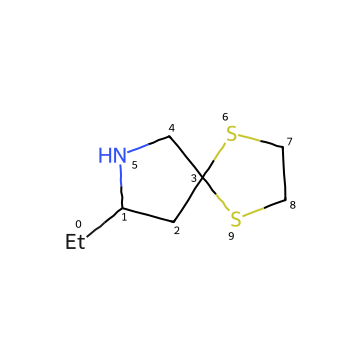 CCC1CC2(CN1)SCCS2